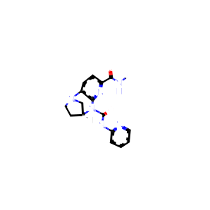 CNC(=O)c1ccc2c(n1)N(C(=O)Nc1ccccn1)[C@H]1CCN2C1